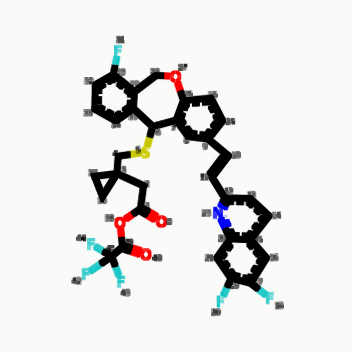 O=C(CC1(CSC2c3cc(C=Cc4ccc5cc(F)c(F)cc5n4)ccc3OCc3c(F)cccc32)CC1)OC(=O)C(F)(F)F